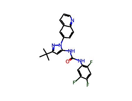 CC(C)(C)c1cc(NC(=O)Nc2cc(F)c(F)cc2F)n(-c2ccc3ncccc3c2)n1